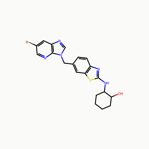 OC1CCCCC1Nc1nc2ccc(Cn3cnc4cc(Br)cnc43)cc2s1